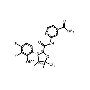 COc1c([C@@H]2[C@@H](C(=O)Nc3cc(C(N)=O)ccn3)O[C@@](C)(C(F)(F)F)[C@H]2C)ccc(F)c1F